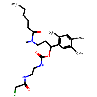 COc1cc(C(CCN(C)C(=O)CCCCC(=O)O)OC(=O)NCCNC(=O)CCl)c([N+](=O)[O-])cc1OC